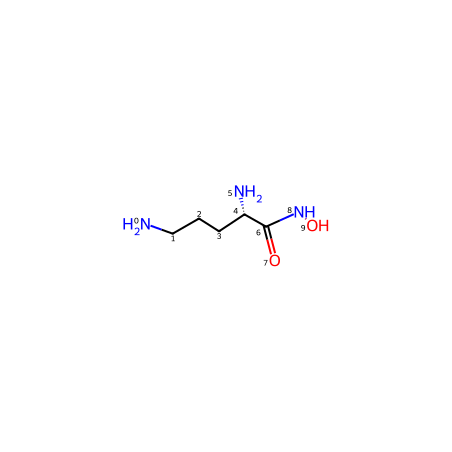 NCCC[C@H](N)C(=O)NO